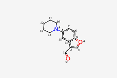 O=Cc1coc2ccc(N3CCCCC3)cc12